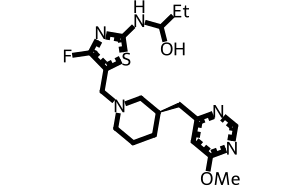 CCC(O)Nc1nc(F)c(CN2CCC[C@H](Cc3cc(OC)ncn3)C2)s1